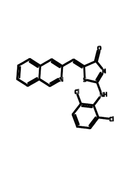 O=C1N=C(Nc2c(Cl)cccc2Cl)S/C1=C\c1cc2ccccc2cn1